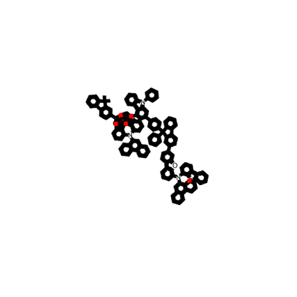 CC1(C)c2ccccc2-c2ccc(-c3ccc4c(c3)oc3cccc(N(c5cc6ccccc6c6ccccc56)c5cccc6oc7ccc(-c8cc(-c9ccc(C%10(c%11ccccc%11)c%11ccccc%11-c%11ccc(-c%12ccc%13c(c%12)oc%12c(N(c%14cc%15ccccc%15c%15ccccc%14%15)c%14cccc%15c%14oc%14ccccc%14%15)cccc%12%13)cc%11%10)cc9)cc9c8c8ccccc8n9-c8ccccc8)cc7c56)c34)cc21